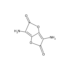 NC1=C2OC(=O)C(N)=C2OC1=O